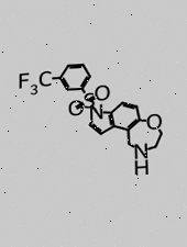 O=S(=O)(c1cccc(C(F)(F)F)c1)n1ccc2c3c(ccc21)OCCNC3